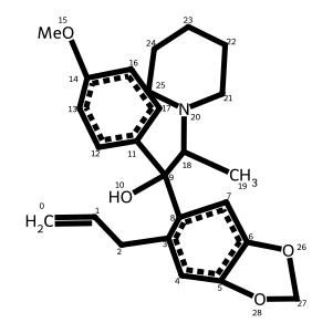 C=CCc1cc2c(cc1C(O)(c1ccc(OC)cc1)C(C)N1CCCCC1)OCO2